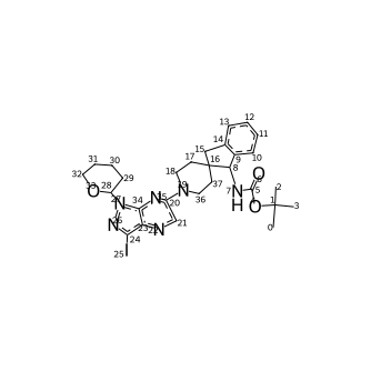 CC(C)(C)OC(=O)NC1c2ccccc2CC12CCN(c1cnc3c(I)nn(C4CCCCO4)c3n1)CC2